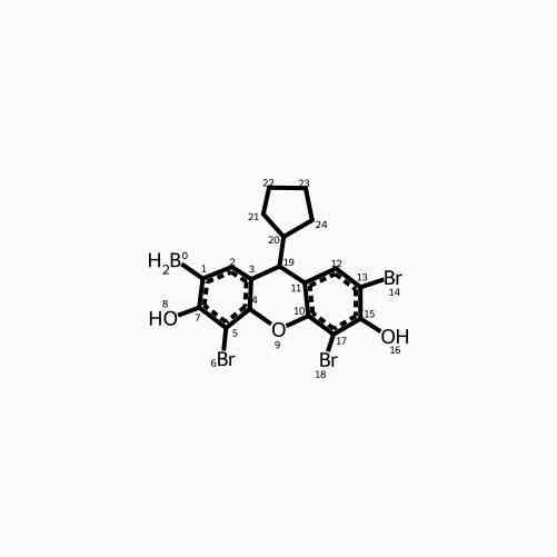 Bc1cc2c(c(Br)c1O)Oc1c(cc(Br)c(O)c1Br)C2C1CCCC1